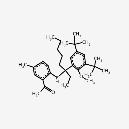 CCCCCC(CC)(Pc1ccc(C)cc1C(C)=O)c1cc(C(C)(C)C)cc(C(C)(C)C)c1OC